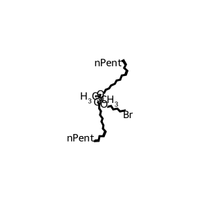 CCCCC/C=C\C/C=C\CCCCCCCCO[Si](C)(C)OC(CCCCCCC/C=C\C/C=C\CCCCC)OCCCCCCBr